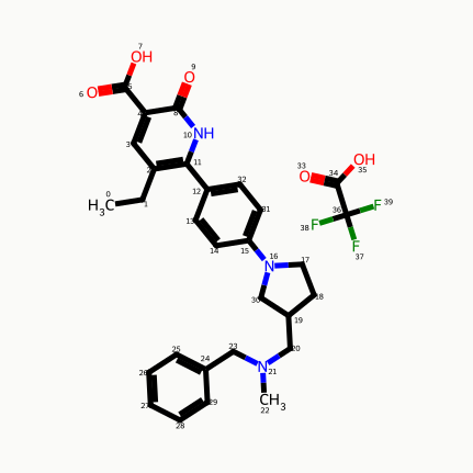 CCc1cc(C(=O)O)c(=O)[nH]c1-c1ccc(N2CCC(CN(C)Cc3ccccc3)C2)cc1.O=C(O)C(F)(F)F